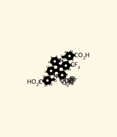 O=C(O)c1ccc(C[n+]2c3ccccc3c(-c3c4ccccc4[n+](Cc4ccc(C(=O)O)cc4)c4cc(C(F)(F)F)ccc34)c3ccc(C(F)(F)F)cc32)cc1.O=[N+]([O-])[O-].O=[N+]([O-])[O-]